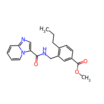 CCCc1ccc(C(=O)OC)cc1CNC(=O)c1cnc2ccccn12